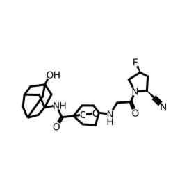 N#C[C@@H]1C[C@H](F)CN1C(=O)CNC12CCC(C(=O)NC34CC5CC(CC(O)(C5)C3)C4)(CC1)CC2